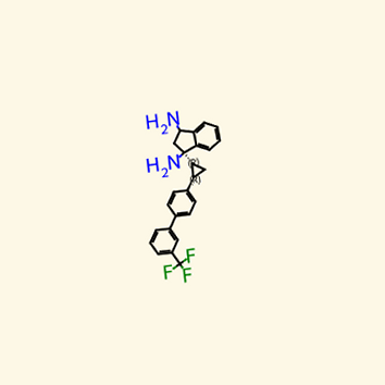 NC1CC(N)([C@@H]2C[C@H]2c2ccc(-c3cccc(C(F)(F)F)c3)cc2)c2ccccc21